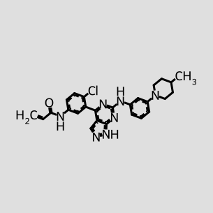 C=CC(=O)Nc1ccc(Cl)c(-c2nc(Nc3cccc(N4CCC(C)CC4)c3)nc3[nH]ncc23)c1